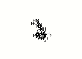 COc1c([C@H]2[C@H](C(=O)Nc3cnc(C(O)CO)nc3)O[C@@](C)(C(F)(F)F)[C@H]2C)ccc(F)c1F